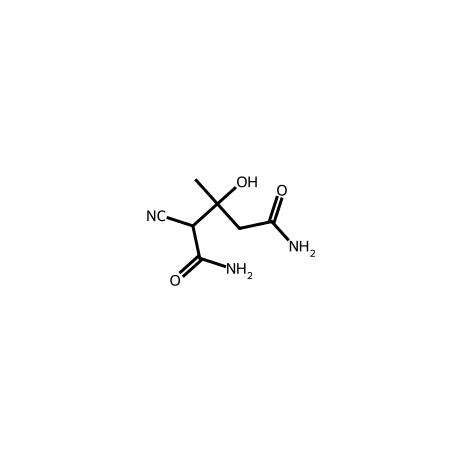 CC(O)(CC(N)=O)C(C#N)C(N)=O